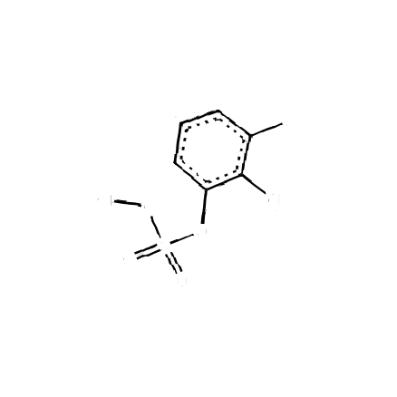 O=S(=O)(OI)Oc1cccc(Cl)c1Cl